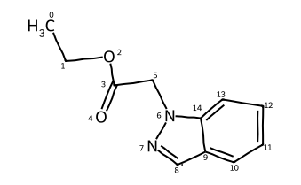 CCOC(=O)Cn1n[c]c2ccccc21